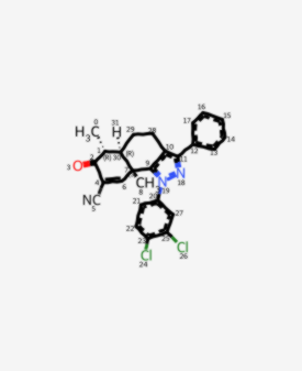 C[C@H]1C(=O)C(C#N)=C[C@@]2(C)c3c(c(-c4ccccc4)nn3-c3ccc(Cl)c(Cl)c3)CC[C@H]12